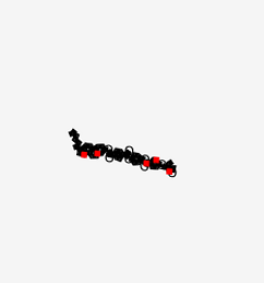 CCC1(COc2ccc(C(=O)Oc3ccc(OC(=O)c4ccc(C(=O)OC5CCC6(C)C(=CCC7C6CCC6(C)C(C(C)CCCC(C)C)CCC76)C5)cc4)cc3)cc2)COC1